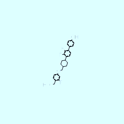 CCc1ccc(OCC2CCC(c3ccc(-c4ccc(C)cc4)c(F)c3F)CC2)cc1F